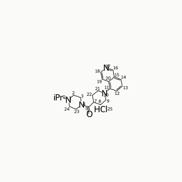 CC(C)N1CCN(C(=O)C2CCN(c3cccc4cnccc34)CC2)CC1.Cl